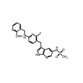 COc1ncccc1CNc1ccc(Cc2c[nH]c3ncc(NS(C)(=O)=O)cc23)c(F)n1